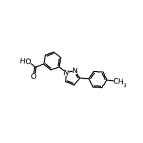 Cc1ccc(-c2ccn(-c3cccc(C(=O)O)c3)n2)cc1